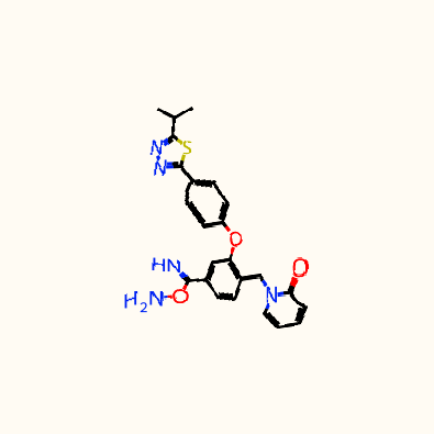 CC(C)c1nnc(-c2ccc(Oc3cc(C(=N)ON)ccc3Cn3ccccc3=O)cc2)s1